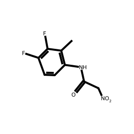 Cc1c(NC(=O)C[N+](=O)[O-])ccc(F)c1F